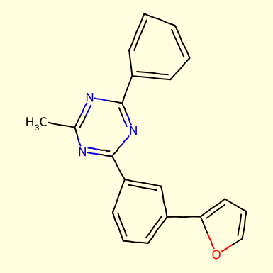 Cc1nc(-c2ccccc2)nc(-c2cccc(-c3ccco3)c2)n1